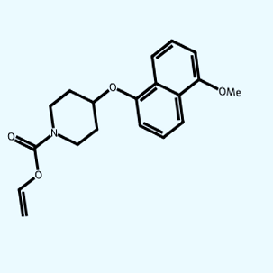 C=COC(=O)N1CCC(Oc2cccc3c(OC)cccc23)CC1